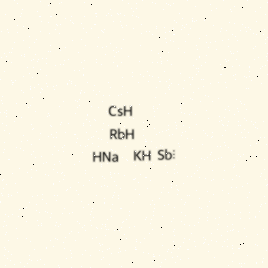 [CsH].[KH].[NaH].[RbH].[Sb]